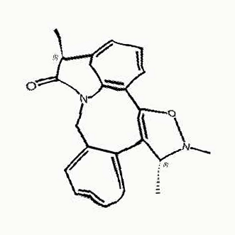 C[C@@H]1C(=O)N2Cc3ccccc3C3=C(ON(C)[C@@H]3C)c3cccc1c32